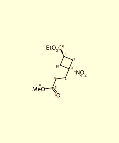 CCOC(=O)[C@H]1C[C@](CCC(=O)OC)([N+](=O)[O-])C1